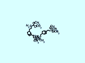 COC(OC)[SiH2]CCC1CC2CC(CC[Si](C)(C)O[Si](C)(C)CCC3CC4CC3CC4CC[Si](C)(OC)OC)C1C2